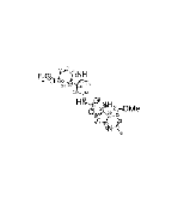 COCc1cc(C)nc2sc(OC(=O)NCCc3c(C)[nH]c4ccc(OC(F)(F)F)cc34)c(N)c12